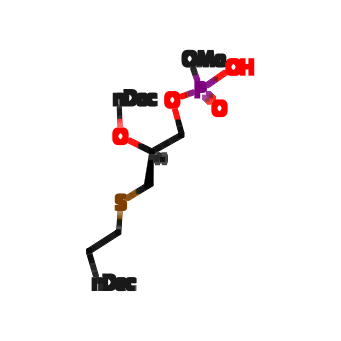 CCCCCCCCCCCCSC[C@H](COP(=O)(O)OC)OCCCCCCCCCC